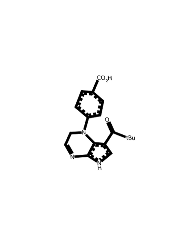 CC(C)(C)C(=O)c1c[nH]c2c1N(c1ccc(C(=O)O)cc1)CC=N2